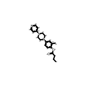 CCCC(=O)Oc1ccc(N2CCN(c3ccncc3)CC2)cc1C